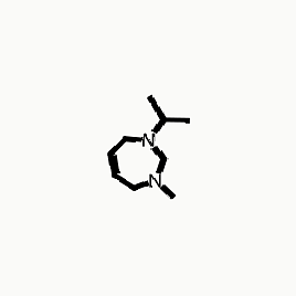 CC(C)N1CC=CCN(C)C1